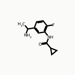 CC(N)c1ccc(F)c(NC(=O)C2CC2)c1